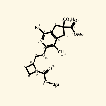 COC(=O)C1(C(=O)O)Cc2c(Br)nc(OC[C@@H]3CCN3C(=O)OC(C)(C)C)c(C)c2C1